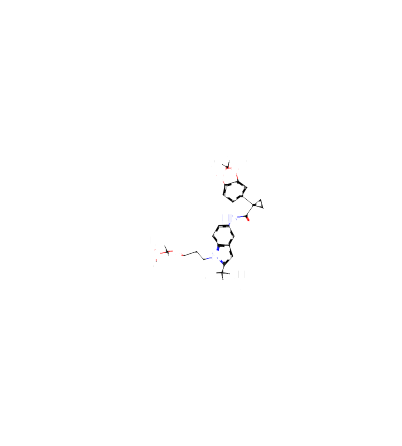 COC(C)(C)OCCCn1c(C(C)(C)C)cc2cc(NC(=O)C3(c4ccc5c(c4)OC(C)(C)O5)CC3)ccc21